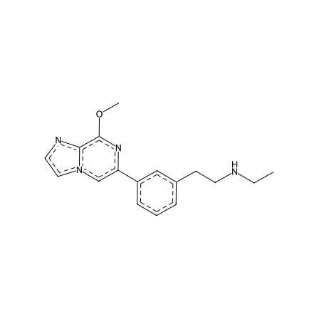 CCNCCc1cccc(-c2cn3ccnc3c(OC)n2)c1